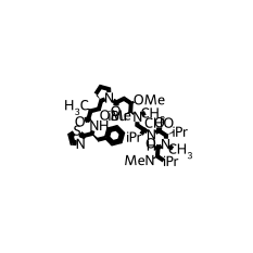 CC[C@H](C)[C@@H]([C@@H](CC(=O)N1CCC[C@H]1[C@H](OC)[C@@H](C)C(=O)N[C@@H](Cc1ccccc1)c1nccs1)OC)N(C)C[C@](C=O)(NC(=O)[C@H](C(C)C)N(C)C(=O)[C@@H](NC)C(C)C)C(C)C